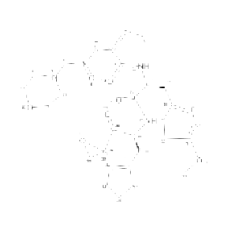 CC=C(NC(=O)CN1CCOCC1)C(=O)N[C@@H](Cc1ccc(OC)cc1)C(=O)N[C@@H](CC1=CCCC1)C(=O)[C@@]1(C)CO1